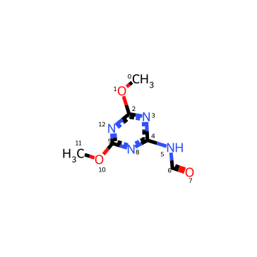 COc1nc(NC=O)nc(OC)n1